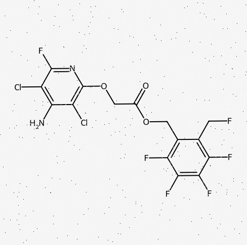 Nc1c(Cl)c(F)nc(OCC(=O)OCc2c(F)c(F)c(F)c(F)c2CF)c1Cl